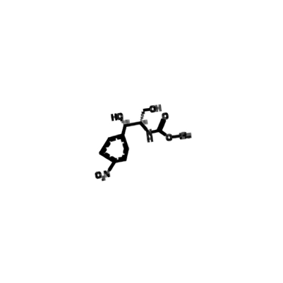 CC(C)(C)OC(=O)N[C@@H](CO)[C@@H](O)c1ccc([N+](=O)[O-])cc1